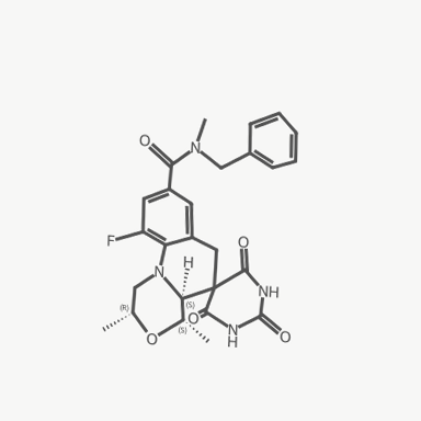 C[C@@H]1CN2c3c(F)cc(C(=O)N(C)Cc4ccccc4)cc3CC3(C(=O)NC(=O)NC3=O)[C@H]2[C@H](C)O1